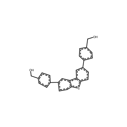 OCc1ccc(-c2ccc3sc4ccc(-c5ccc(CO)cc5)cc4c3c2)cc1